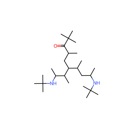 CC(CC(C)C(CC(C)C(=O)C(C)(C)C)C(C)C(C)NC(C)(C)C)NC(C)(C)C